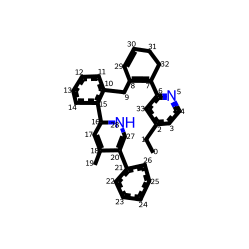 CCc1ccnc(C2=C(Cc3ccccc3C3C=C(C)C(c4ccccc4)=CN3)C=CCC2)c1